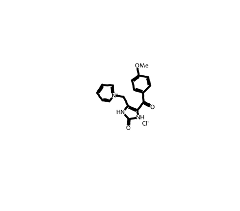 COc1ccc(C(=O)c2[nH]c(=O)[nH]c2C[n+]2ccccc2)cc1.[Cl-]